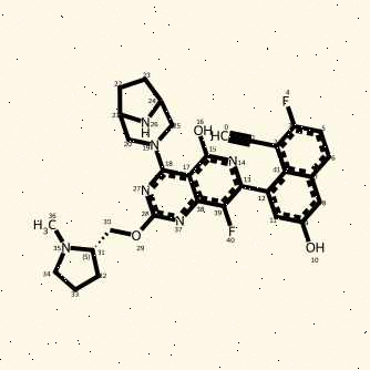 C#Cc1c(F)ccc2cc(O)cc(-c3nc(O)c4c(N5CC6CCC(C5)N6)nc(OC[C@@H]5CCCN5C)nc4c3F)c12